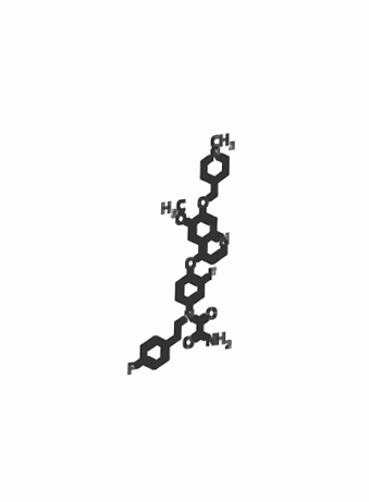 COc1cc2c(Oc3ccc(N(CCc4ccc(F)cc4)C(=O)C(N)=O)cc3F)ccnc2cc1OCC1CCN(C)CC1